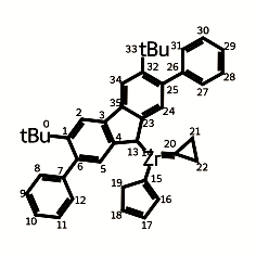 CC(C)(C)c1cc2c(cc1-c1ccccc1)[CH]([Zr]([C]1=CC=CC1)=[C]1CC1)c1cc(-c3ccccc3)c(C(C)(C)C)cc1-2